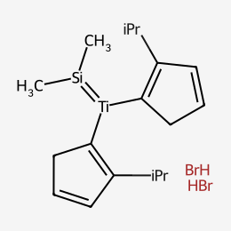 Br.Br.CC(C)C1=[C]([Ti]([C]2=C(C(C)C)C=CC2)=[Si](C)C)CC=C1